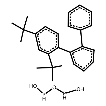 CC(C)(C)c1ccc(-c2ccccc2-c2ccccc2)c(C(C)(C)C)c1.OPOPO